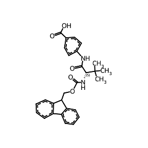 CC(C)(C)[C@H](NC(=O)OCC1c2ccccc2-c2ccccc21)C(=O)Nc1ccc(C(=O)O)cc1